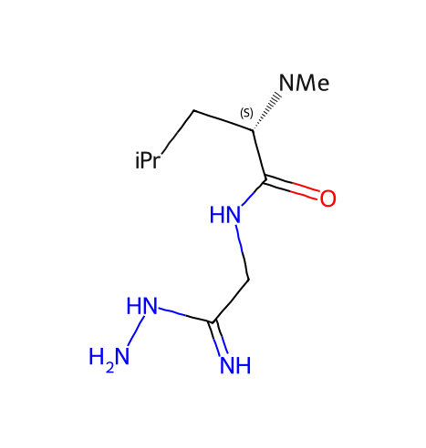 CN[C@@H](CC(C)C)C(=O)NCC(=N)NN